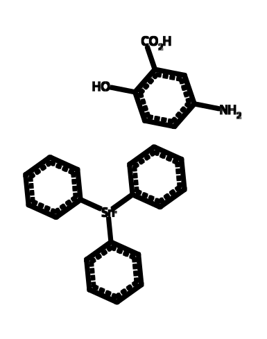 Nc1ccc(O)c(C(=O)O)c1.c1cc[c]([Sn]([c]2ccccc2)[c]2ccccc2)cc1